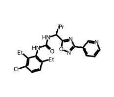 CCc1ccc(Cl)c(CC)c1NC(=O)NC(c1nc(-c2cccnc2)no1)C(C)C